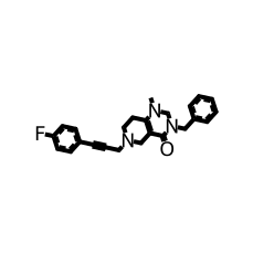 CN1CN(Cc2ccccc2)C(=O)C2=C1CCN(CC#Cc1ccc(F)cc1)C2